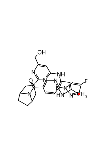 Cc1cc(Nc2cc(CO)nc(N3CC4CCC(C3)N4C(=O)c3ccc(-n4cc(F)cn4)nc3)n2)n[nH]1